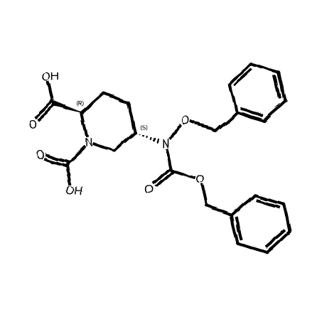 O=C(O)[C@H]1CC[C@H](N(OCc2ccccc2)C(=O)OCc2ccccc2)CN1C(=O)O